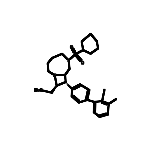 COC[C@@H]1[C@@H](c2ccc(-c3cccc(C)c3C)cc2)C2CN(S(=O)(=O)C3CCCCC3)CCCCN21